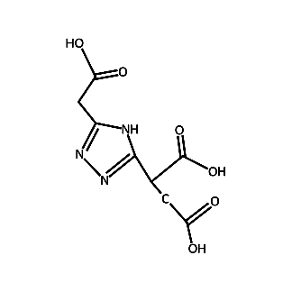 O=C(O)Cc1nnc(C(CC(=O)O)C(=O)O)[nH]1